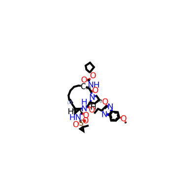 CCc1nc2ccc(OC)cc2nc1O[C@@H]1C[C@H]2C(=O)N[C@]3(C(=O)NS(=O)(=O)C4(C)CC4)C[C@H]3/C=C\CCCCC[C@H](NC(=O)OC3CCCC3)C(=O)N2C1